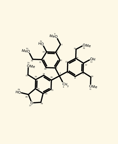 COCc1cc(C(C)(c2cc(COC)c(O)c(COC)c2)c2cc(COC)c3c(c2)COC3O)cc(COC)c1O